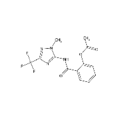 CC(=O)Oc1ccccc1C(=O)Nc1nc(C(F)(F)F)nn1C